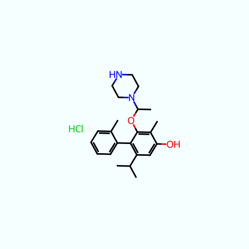 Cc1ccccc1-c1c(C(C)C)cc(O)c(C)c1OC(C)N1CCNCC1.Cl